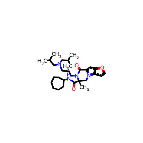 CC(C)CN(CCCN1C(=O)c2cc3occc3n2CC1(C)C(=O)NC1CCCCCC1)CC(C)C